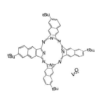 CC(C)(C)c1ccc2cc3c(cc2c1)-c1nc-3nc2[n-]c(nc3nc(nc4[n-]c(n1)c1cc5ccc(C(C)(C)C)cc5cc41)-c1cc4ccc(C(C)(C)C)cc4cc1-3)c1cc3ccc(C(C)(C)C)cc3cc21.[O]=[V+2]